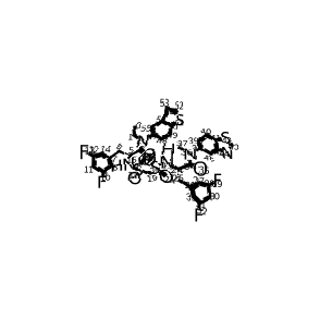 CCN(C(=O)[C@H](Cc1cc(F)cc(F)c1)NS(=O)(=O)CS(=O)(=O)N[C@@H](Cc1cc(F)cc(F)c1)C(=O)N(C)c1ccc2scnc2c1)c1ccc2sccc2c1